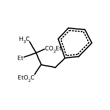 CCOC(=O)C(Cc1ccccc1)C(C)(CC)C(=O)OCC